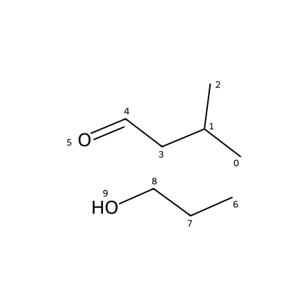 CC(C)CC=O.CCCO